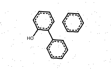 Oc1ccccc1-c1ccccc1.c1ccccc1